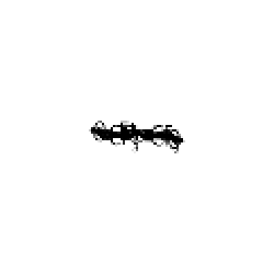 C=CC(=O)Oc1ccc(C(c2ccc(OCC(CC)Oc3ccc(C(c4ccc(OC(=O)C=C)cc4)(C(F)(F)F)C(F)(F)F)cc3)cc2)(C(F)(F)F)C(F)(F)F)cc1